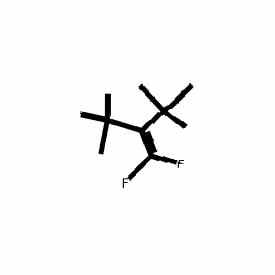 CC(C)(C)C(=C(F)F)C(C)(C)C